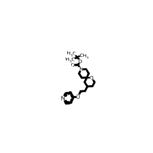 CC(C)(C)OC(=O)N1CCC2(CC1)CC(CCOc1ccncc1)CCO2